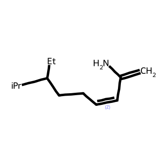 C=C(N)/C=C\CCC(CC)C(C)C